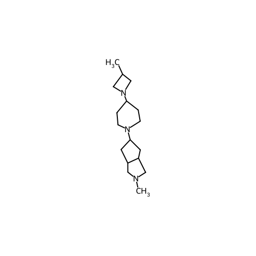 CC1CN(C2CCN(C3CC4CN(C)CC4C3)CC2)C1